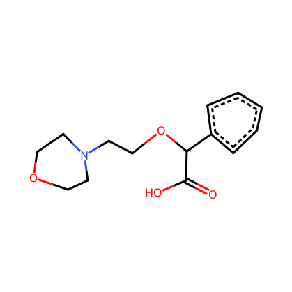 O=C(O)[C](OCCN1CCOCC1)c1ccccc1